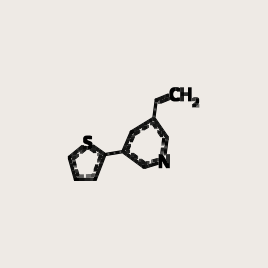 C=Cc1cncc(-c2cccs2)c1